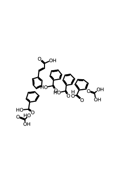 O=C(O)C=Cc1ccccc1.O=C(O)O.O=C(O)O.O=C(O)c1ccccc1.O=C(O)c1ccccc1.O=C(O)c1ccccc1.O=C(O)c1ccccc1